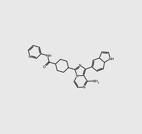 Nc1nccn2c(C3CCC(C(=O)Nc4cccnc4)CC3)nc(C3=CC4C=CNC4C=C3)c12